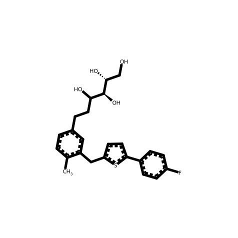 Cc1ccc(CCC(O)[C@H](O)[C@H](O)CO)cc1Cc1ccc(-c2ccc(F)cc2)s1